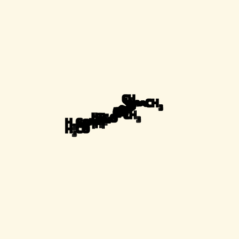 C=C(C)C(=O)OCCC(F)(F)C(F)(F)C(F)(F)C(F)(F)CCOc1ccc2cc(-c3ccc(CCCCC)cc3CC)n(C)c2c1